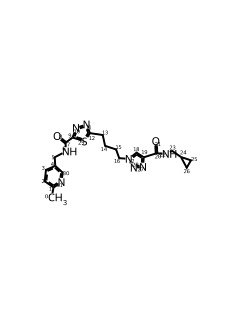 Cc1ccc(CNC(=O)c2nnc(CCCCn3cc(C(=O)NCC4CC4)nn3)s2)cn1